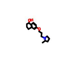 CC1CCCN1CCCOc1ccc2c(c1)CCCC2O